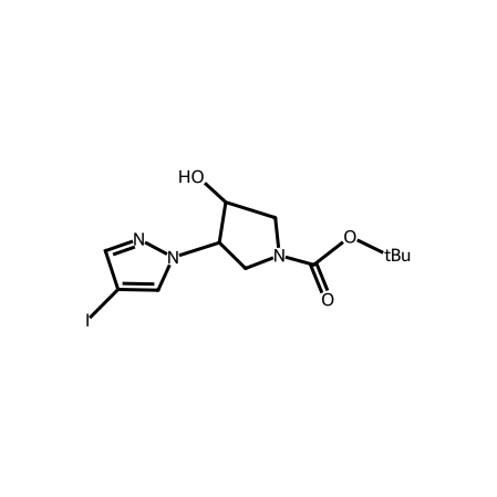 CC(C)(C)OC(=O)N1CC(O)C(n2cc(I)cn2)C1